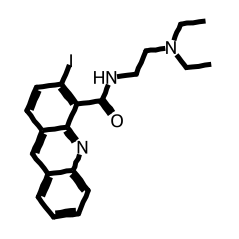 CCN(CC)CCNC(=O)c1c(I)ccc2cc3ccccc3nc12